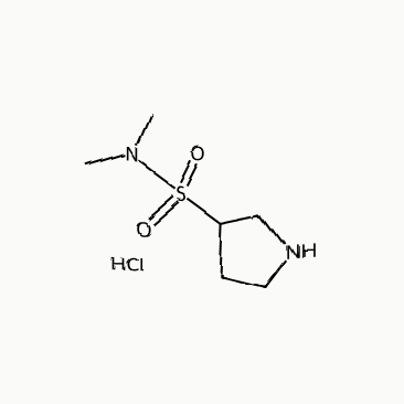 CN(C)S(=O)(=O)C1CCNC1.Cl